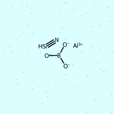 N#[SiH].[Al+3].[O-]B([O-])[O-]